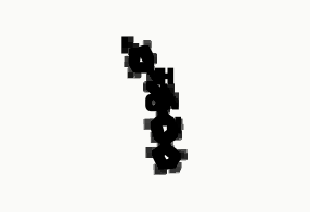 Fc1ccc(NCc2nnc(-c3ccc(C4CCCC4)cn3)o2)cc1